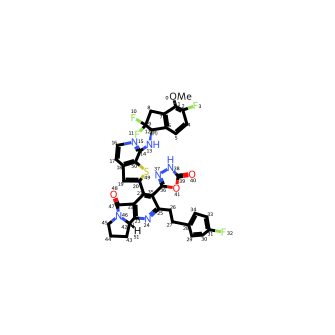 COc1c(F)ccc2c1CC(F)(F)[C@@H]2Nc1nccc2cc(-c3c4c(nc(CCc5ccc(F)cc5)c3-c3n[nH]c(=O)o3)[C@@H]3CCCN3C4=O)sc12